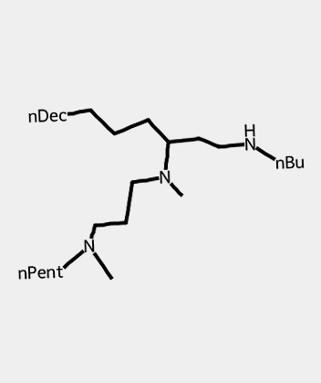 CCCCCCCCCCCCCC(CCNCCCC)N(C)CCCN(C)CCCCC